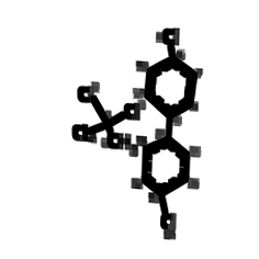 CC(Cl)(Cl)Cl.Clc1ccc(-c2ccc(Cl)cc2)cc1